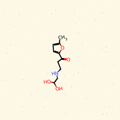 Cc1ccc(C(=O)CCNCC(O)O)o1